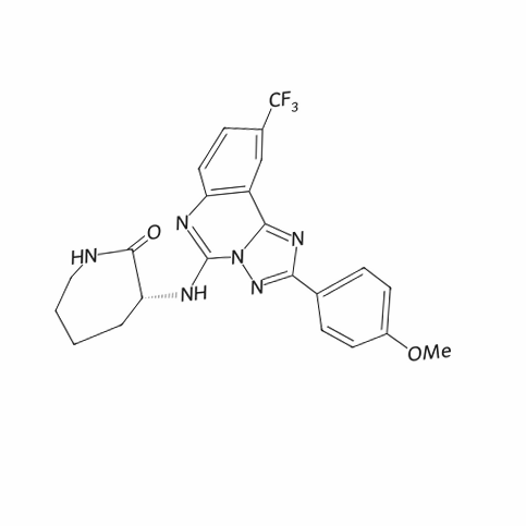 COc1ccc(-c2nc3c4cc(C(F)(F)F)ccc4nc(N[C@@H]4CCCCNC4=O)n3n2)cc1